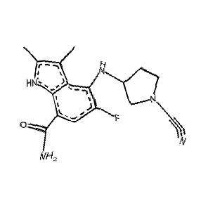 Cc1[nH]c2c(C(N)=O)cc(F)c(NC3CCN(C#N)C3)c2c1C